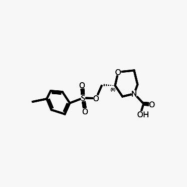 Cc1ccc(S(=O)(=O)OC[C@H]2CN(C(=O)O)CCO2)cc1